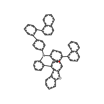 c1ccc(-c2cccc3ccccc23)c(-c2ccc(N(c3ccc(-c4cccc5ccccc45)cc3)c3ccccc3-c3cccc4oc5ccccc5c34)cc2)c1